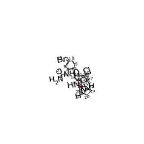 NC(=O)Nc1cc(Br)ccc1OCC(=O)N[C@H]1C[C@H]2CC[C@@H](C1)N2Cc1ccc(Cl)cc1